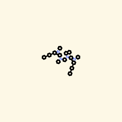 c1ccc(-c2ccc(-c3ccc4c(c3)c3cc(N(c5ccccc5)c5cccc(N(c6ccc7c(c6)c6cc(-c8ccc(-c9ccccc9)cc8)ccc6n7-c6ccccc6)c6cccc7ccccc67)c5)ccc3n4-c3ccccc3)cc2)cc1